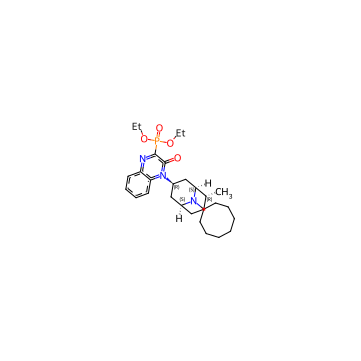 CCOP(=O)(OCC)c1nc2ccccc2n([C@@H]2C[C@@H]3CC[C@@H](C)[C@H](C2)N3C2CCCCCCC2)c1=O